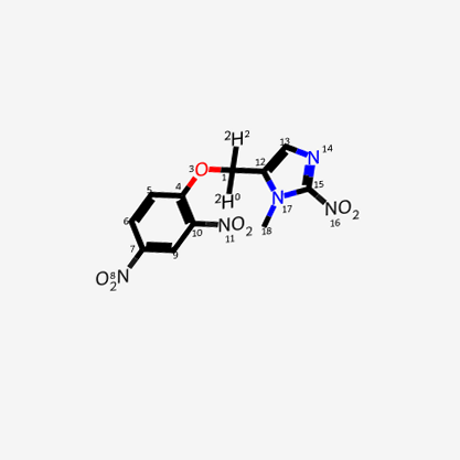 [2H]C([2H])(Oc1ccc([N+](=O)[O-])cc1[N+](=O)[O-])c1cnc([N+](=O)[O-])n1C